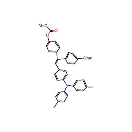 COC(=O)Oc1ccc(C(=Cc2ccc(N(c3ccc(C)cc3)c3ccc(C)cc3)cc2)c2ccc(OC)cc2)cc1